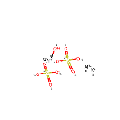 O=S(=O)(O)O.O=S(=O)([O-])[O-].O=S(=O)([O-])[O-].[Al+3].[K+]